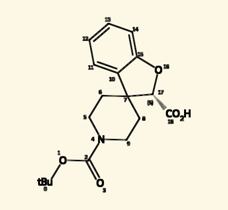 CC(C)(C)OC(=O)N1CCC2(CC1)c1ccccc1O[C@@H]2C(=O)O